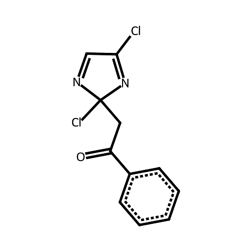 O=C(CC1(Cl)N=CC(Cl)=N1)c1ccccc1